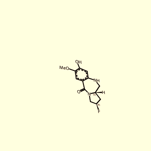 COc1cc2c(cc1O)NC[C@@H]1C[C@@H](F)CN1C2=O